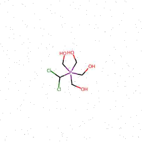 OCP(CO)(CO)(CO)C(Cl)Cl